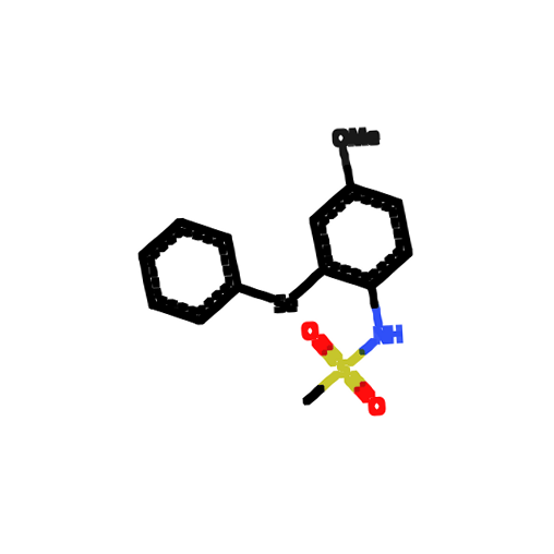 COc1ccc(NS(C)(=O)=O)c([Se]c2ccccc2)c1